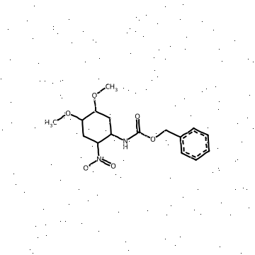 COC1CC(NC(=O)OCc2ccccc2)C([N+](=O)[O-])CC1OC